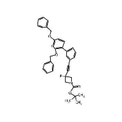 CC(C)(C)OC(=O)N1CC(F)(C#Cc2cccc(-c3ccc(OCc4ccccc4)nc3OCc3ccccc3)c2)C1